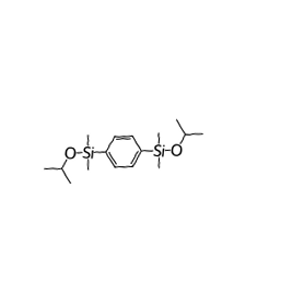 CC(C)O[Si](C)(C)c1ccc([Si](C)(C)OC(C)C)cc1